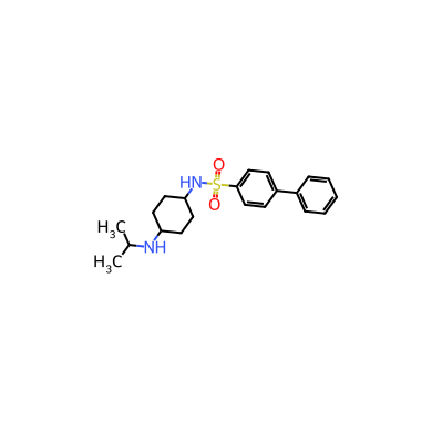 CC(C)NC1CCC(NS(=O)(=O)c2ccc(-c3ccccc3)cc2)CC1